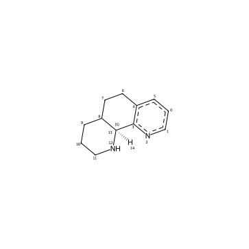 c1cnc2c(c1)CCC1CCCN[C@H]21